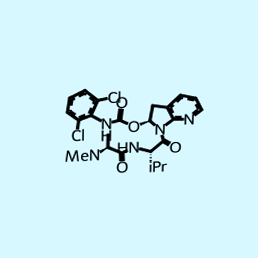 CN[C@@H](C)C(=O)N[C@H](C(=O)N1c2ncccc2C[C@@H]1OC(=O)Nc1c(Cl)cccc1Cl)C(C)C